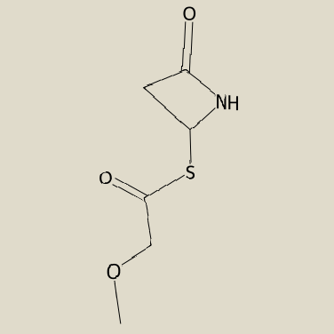 COCC(=O)SC1CC(=O)N1